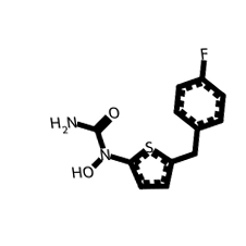 NC(=O)N(O)c1ccc(Cc2ccc(F)cc2)s1